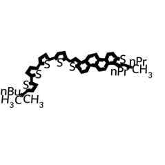 CCCCC(C)(C)c1ccc(-c2ccc(-c3ccc(-c4ccc(-c5cc6c(ccc7c6ccc6c8ccc9sc(C(C)(CCC)CCC)cc9c8ccc76)s5)s4)s3)s2)s1